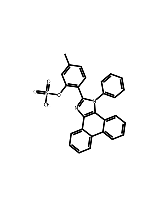 Cc1ccc(-c2nc3c4ccccc4c4ccccc4c3n2-c2ccccc2)c(OS(=O)(=O)C(F)(F)F)c1